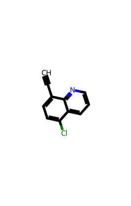 C#Cc1ccc(Cl)c2cccnc12